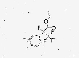 CCOC(=O)C(F)(c1cccc(C)c1)C(F)(F)F